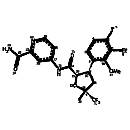 CCc1c(F)ccc([C@@H]2C[C@](C)(C(F)(F)F)O[C@H]2C(=O)Nc2ccnc(C(N)=O)c2)c1OC